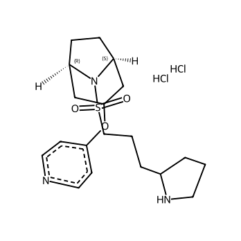 Cl.Cl.O=S(=O)(CCCC1CCCN1)N1[C@@H]2CC[C@H]1CC(Oc1ccncc1)C2